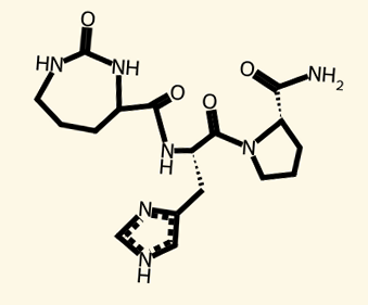 NC(=O)[C@@H]1CCCN1C(=O)[C@H](Cc1c[nH]cn1)NC(=O)C1CCCNC(=O)N1